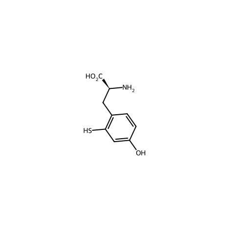 N[C@@H](Cc1ccc(O)cc1S)C(=O)O